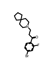 O=C(CCN1CCC2(CCCC2)CC1)c1ccc(Br)cc1F